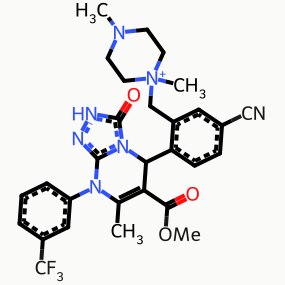 COC(=O)C1=C(C)N(c2cccc(C(F)(F)F)c2)c2n[nH]c(=O)n2C1c1ccc(C#N)cc1C[N+]1(C)CCN(C)CC1